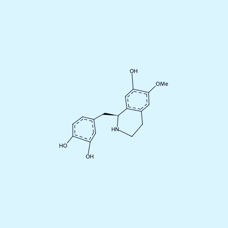 COc1cc2c(cc1O)[C@H](Cc1ccc(O)c(O)c1)NCC2